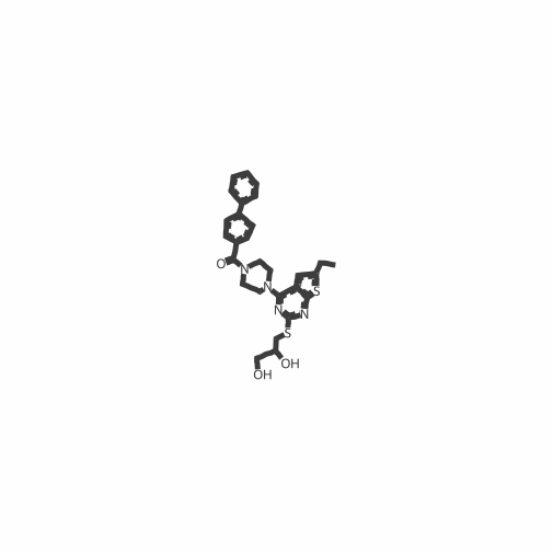 CCc1cc2c(N3CCN(C(=O)c4ccc(-c5ccccc5)cc4)CC3)nc(SCC(O)CO)nc2s1